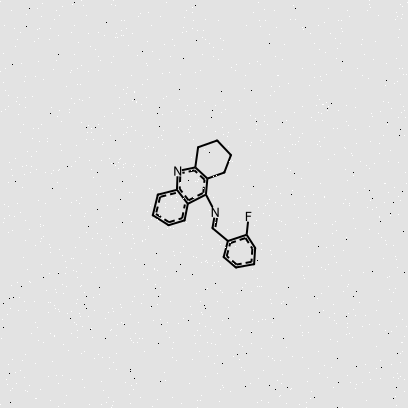 Fc1ccccc1C=Nc1c2c(nc3ccccc13)CCCC2